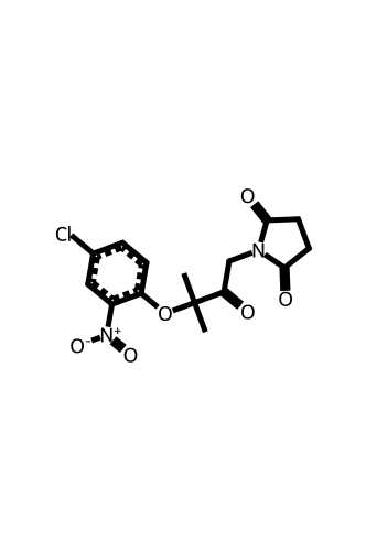 CC(C)(Oc1ccc(Cl)cc1[N+](=O)[O-])C(=O)CN1C(=O)CCC1=O